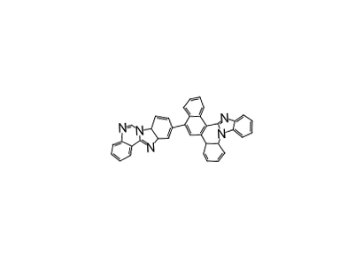 C1=CC2c3cc(C4=CC5N=C6c7ccccc7N=CN6C5C=C4)c4ccccc4c3-c3nc4ccccc4n3C2C=C1